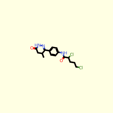 CC1CC(=O)NN=C1c1ccc(NC(=O)C(Cl)CCCCl)cc1